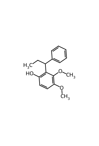 CCC(c1ccccc1)c1c(O)ccc(OC)c1OC